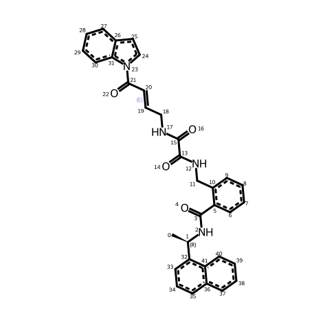 C[C@@H](NC(=O)c1ccccc1CNC(=O)C(=O)NC/C=C/C(=O)n1ccc2ccccc21)c1cccc2ccccc12